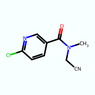 CN(CC#N)C(=O)c1ccc(Cl)nc1